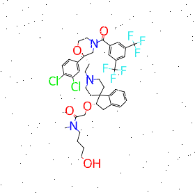 CN(CCCCO)C(=O)CO[C@H]1Cc2ccccc2C12CCN(CC[C@@]1(c3ccc(Cl)c(Cl)c3)CN(C(=O)c3cc(C(F)(F)F)cc(C(F)(F)F)c3)CCO1)CC2